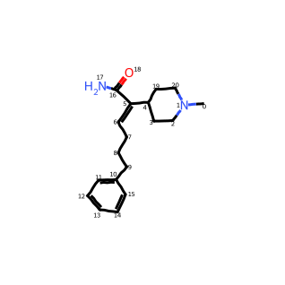 CN1CCC(/C(=C\CCCc2ccccc2)C(N)=O)CC1